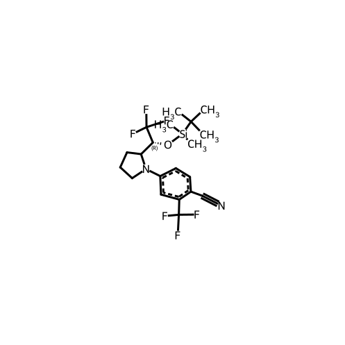 CC(C)(C)[Si](C)(C)O[C@H](C1CCCN1c1ccc(C#N)c(C(F)(F)F)c1)C(F)(F)F